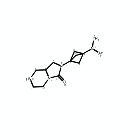 CC(=O)N(C)C12CC(N3CC4CNCCN4C3=O)(C1)C2